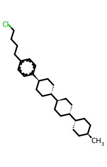 C[C@H]1CC[C@H]([C@H]2CC[C@H]([C@H]3CC[C@H](c4ccc(CCCCCl)cc4)CC3)CC2)CC1